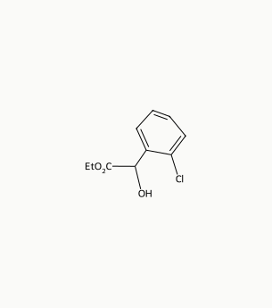 CCOC(=O)C(O)c1ccccc1Cl